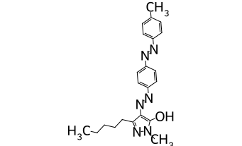 CCCCCc1nn(C)c(O)c1N=Nc1ccc(N=Nc2ccc(C)cc2)cc1